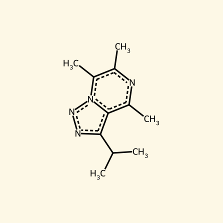 Cc1nc(C)c2c(C(C)C)nnn2c1C